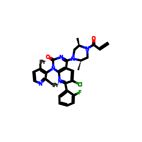 C=CC(=O)N1C[C@H](C)N(c2nc(=O)n(-c3c(C(C)C)ccnc3C(C)C)c3nc(-c4ccccc4F)c(Cl)cc23)C[C@H]1C